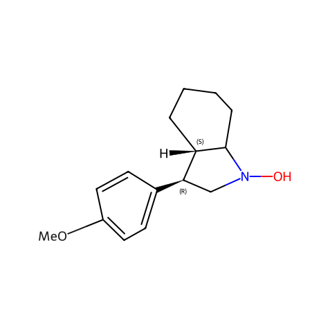 COc1ccc([C@@H]2CN(O)C3CCCC[C@H]32)cc1